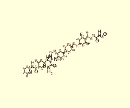 Cc1cccc(NC(=O)c2cnc(-c3nn4c(c3C(N)=O)Nc3ccc(N5CCN(CCc6cc(F)c(C(C)CCC(=O)NC=O)c(F)c6)CC5)cc3CC4)cc2C)n1